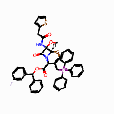 CO[C@@]1(NC(=O)Cc2cccs2)C(=O)N2C(C(=O)OC(c3ccccc3)c3ccccc3)C(C[P+](c3ccccc3)(c3ccccc3)c3ccccc3)=CS[C@H]21.[I-]